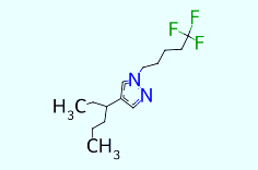 CCCC(CC)c1cnn(CCCCC(F)(F)F)c1